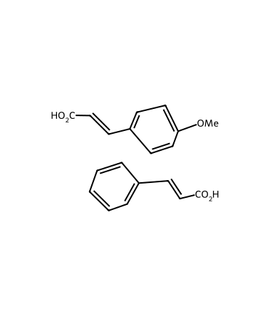 COc1ccc(C=CC(=O)O)cc1.O=C(O)C=Cc1ccccc1